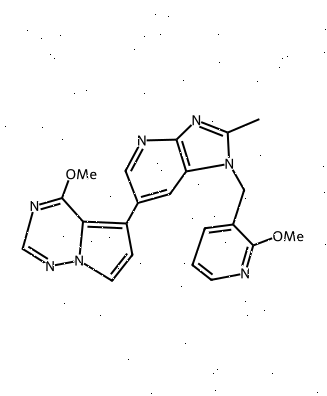 COc1ncccc1Cn1c(C)nc2ncc(-c3ccn4ncnc(OC)c34)cc21